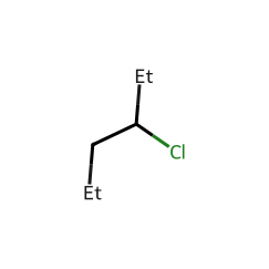 [CH2]CC(Cl)CCC